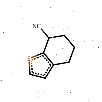 N#CC1CCCc2ccsc21